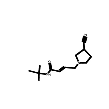 CC(C)(C)NC(=O)/C=C/CN1CCC(C#N)C1